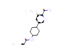 C=CC(=O)NC1CCC(c2cnc(C(N)=O)c(NC(C)=O)c2)CC1